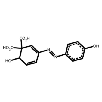 O=C(O)C1(C(=O)O)C=C(N=Nc2ccc(O)cc2)C=CC1O